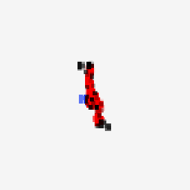 C=CC(=O)OCCCCCCOc1ccc(COc2ccc(-c3ccc(OCc4ccc(OCCCCCCOC(=O)C=C)cc4)cc3/C=N/Nc3nc4ccccc4s3)cc2)cc1